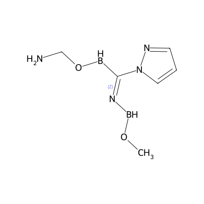 COB/N=C(/BOCN)n1cccn1